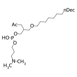 CCCCCCCCCCCCCCCCCOCC(COP(O)OCCCN(C)C)CC(C)=O